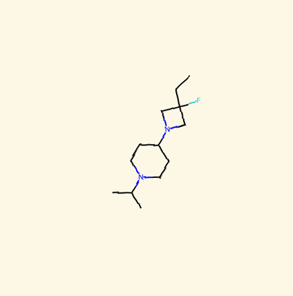 CCC1(F)CN(C2CCN(C(C)C)CC2)C1